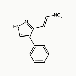 O=[N+]([O-])C=Cc1n[nH]cc1-c1ccccc1